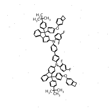 CC(C)(C)c1ccc(C2(c3ccc(Oc4ccc5c(c4)CC5)cc3)c3ccccc3-c3ccc(N(c4ccc(-c5ccc(N(c6ccc7c(c6)C(c6ccc(Oc8ccc9c(c8)CC9)cc6)(c6ccc(C(C)(C)C)cc6)c6ccccc6-7)c6ccc(F)cc6F)cc5)cc4)c4ccc(F)cc4F)cc32)cc1